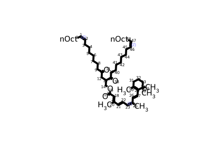 CCCCCCCC/C=C\CCCCCCCC(=O)CC(COC(=O)C=C(C)C=C/C=C(/C)C=CC1=C(C)CCCC1(C)C)C(=O)CCCCCCC/C=C\CCCCCCCC